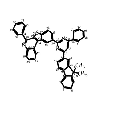 CC1(C)c2ccccc2-c2ccc(-c3cc(-c4ccccc4)nc(-c4ccc5sc6c(-c7ccccc7)nc7ccccc7c6c5c4)n3)cc21